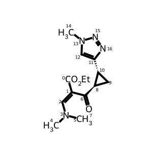 CCOC(=O)/C(=C/N(C)C)C(=O)[C@@H]1C[C@H]1c1cn(C)nn1